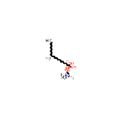 CCCCCCCCCC(C)CCCCCCCCC(=O)C(OP(=O)([O-])OCC[N+](C)(C)C)[C@@H](O)CO